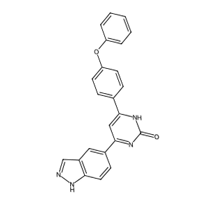 O=c1nc(-c2ccc3[nH]ncc3c2)cc(-c2ccc(Oc3ccccc3)cc2)[nH]1